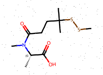 CSSC(C)(C)CCC(=O)N(C)[C@@H](C)C(=O)O